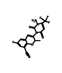 CC1Oc2c(C#N)cc(F)cc2C=C1n1c(=O)cc(C(F)(F)F)n(N)c1=O